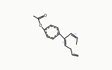 C=CC/C=C(\C=C/C)c1ccc(OC(C)=O)cc1